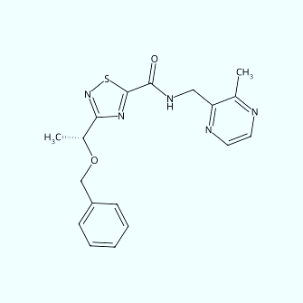 Cc1nccnc1CNC(=O)c1nc([C@@H](C)OCc2ccccc2)ns1